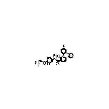 O=C(Nc1ccc(OCC(F)(F)F)nc1)c1cccn(-c2ccc(F)cc2N2CCOCC2)c1=O